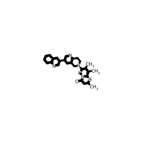 Cc1cc(=O)n2nc(N3CCc4ncc(-c5cnc6ccccc6c5)cc4C3)c(C)c(C)c2n1